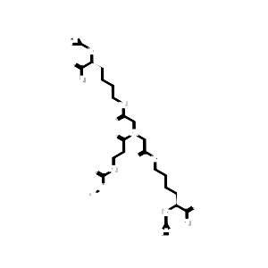 CC(C)(C)OC(=O)NCCC(=O)N(CC(=O)NCCCC[C@H](NC1SS1)C(N)=O)CC(=O)NCCCC[C@H](NC1SS1)C(N)=O